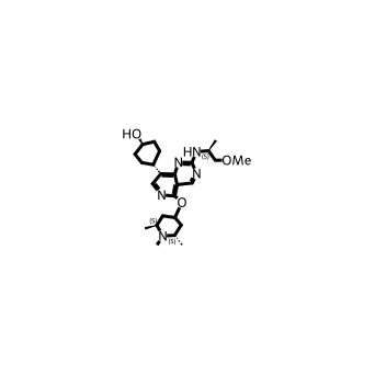 COC[C@H](C)Nc1ncc2c(OC3C[C@H](C)N(C)[C@@H](C)C3)ncc([C@H]3CC[C@H](O)CC3)c2n1